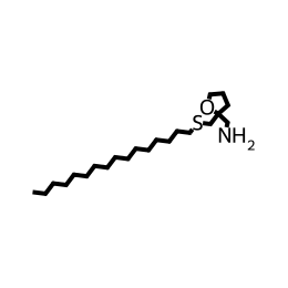 CCCCCCCCCCCCCCCCSCC1(CN)CCCO1